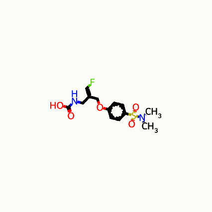 CN(C)S(=O)(=O)c1ccc(OC/C(=C\F)CNC(=O)O)cc1